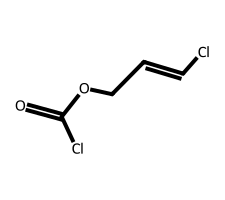 O=C(Cl)OCC=CCl